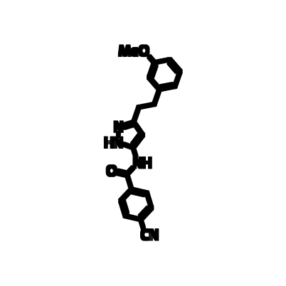 COc1cccc(CCc2cc(NC(=O)c3ccc(C#N)cc3)[nH]n2)c1